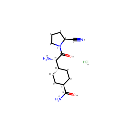 Cl.N#C[C@@H]1CCCN1C(=O)[C@@H](N)[C@H]1CC[C@H](C(N)=O)CC1